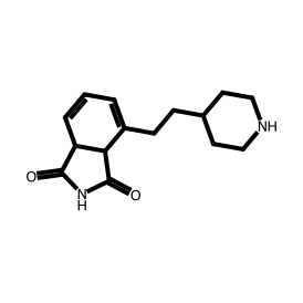 O=C1NC(=O)C2C(CCC3CCNCC3)=CC=CC12